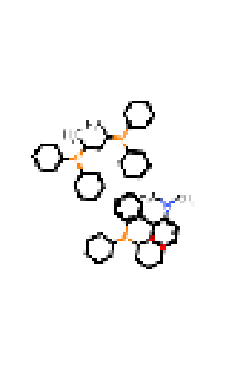 CC(CC(C)P(C1CCCCC1)C1CCCCC1)P(C1CCCCC1)C1CCCCC1.CN(C)c1ccccc1-c1ccccc1P(C1CCCCC1)C1CCCCC1